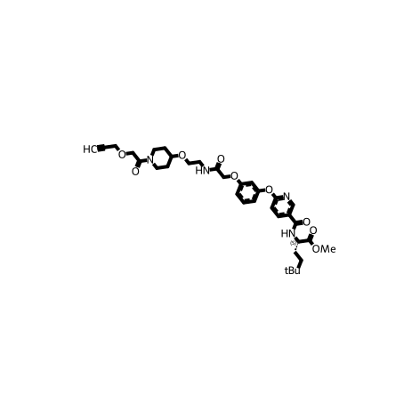 C#CCOCC(=O)N1CCC(OCCNC(=O)COc2cccc(Oc3ccc(C(=O)N[C@@H](CCC(C)(C)C)C(=O)OC)cn3)c2)CC1